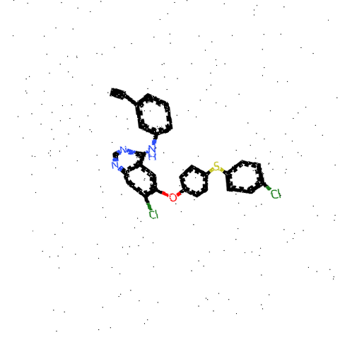 C#Cc1cccc(Nc2ncnc3cc(Cl)c(Oc4ccc(Sc5ccc(Cl)cc5)cc4)cc23)c1